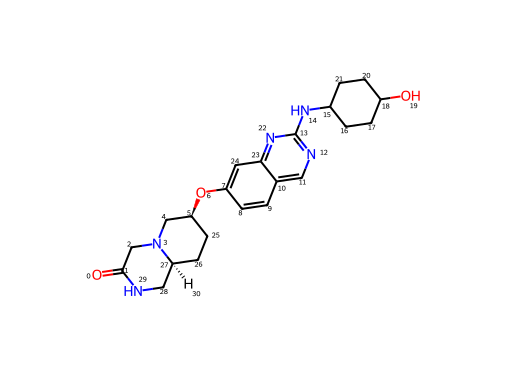 O=C1CN2C[C@@H](Oc3ccc4cnc(NC5CCC(O)CC5)nc4c3)CC[C@H]2CN1